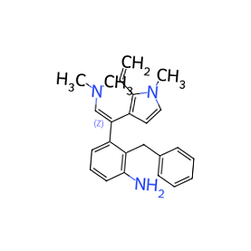 C=Cc1c(/C(=C\N(C)C)c2cccc(N)c2Cc2ccccc2)ccn1C